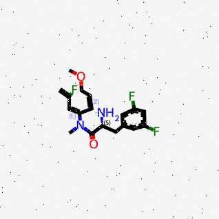 C=C(F)/C=C(\C=C/COC)N(C)C(=O)[C@@H](N)Cc1cc(F)cc(F)c1